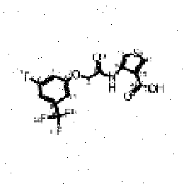 O=C(COc1cc(F)cc(C(F)(F)F)c1)Nc1cscc1C(=O)O